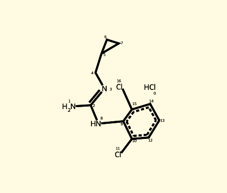 Cl.NC(=NCC1CC1)Nc1c(Cl)cccc1Cl